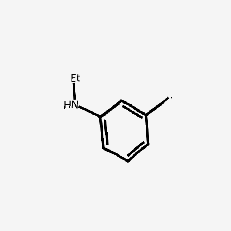 [CH2]c1cccc(NCC)c1